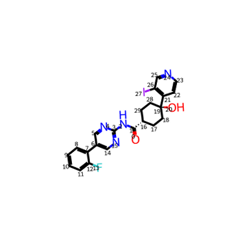 O=C(Nc1ncc(-c2ccccc2F)cn1)[C@H]1CC[C@@](O)(c2ccncc2I)CC1